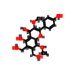 COc1c(-c2ccc(O)cc2)oc2c(OC)c(CO)c(CO)c(O)c2c1=O